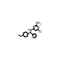 CCc1ccc(C(Nc2cc(Cl)nc(N)n2)c2cccs2)cc1